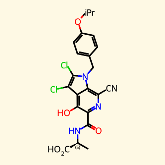 CC(C)Oc1ccc(Cn2c(Cl)c(Cl)c3c(O)c(C(=O)N[C@@H](C)C(=O)O)nc(C#N)c32)cc1